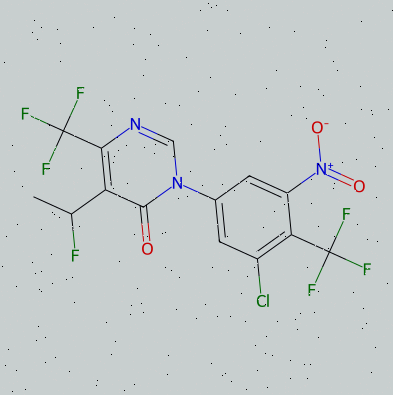 CC(F)c1c(C(F)(F)F)ncn(-c2cc(Cl)c(C(F)(F)F)c([N+](=O)[O-])c2)c1=O